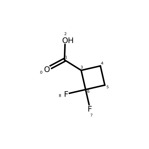 O=C(O)C1CCC1(F)F